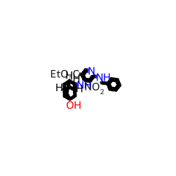 CCOC(=O)c1cnc(NCc2ccccc2)c([N+](=O)[O-])c1N[C@@H]1[C@@H]2C[C@H]3C[C@H]1C[C@@](O)(C3)C2